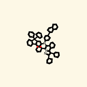 c1ccc(-c2nn3c(-c4ccccc4)c(N(c4ccc(-c5ccc6ccccc6c5)cc4)c4ccc5c(c4)C(c4ccccc4)(c4ccccc4)c4ccccc4-5)c4ccccc4c3c2-c2ccccc2)cc1